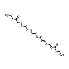 O=C(CCS)CCOCCOCCOCCOCCOC(=O)CCS